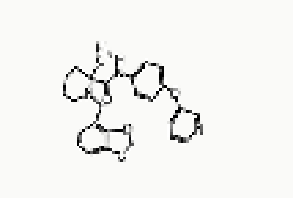 CC1(C(=O)Nc2ccc(Oc3cccnc3)cc2)CCCCN1Cc1cccc2c1OCO2